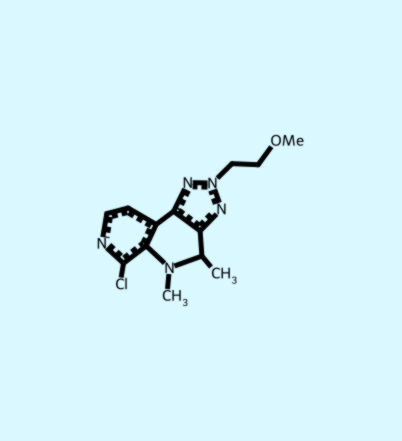 COCCn1nc2c(n1)C(C)N(C)c1c-2ccnc1Cl